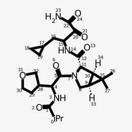 CC(C)C(=O)NC(C(=O)N1C[C@H]2[C@@H]([C@H]1C(=O)NC(CC1CC1)C(=O)C(N)=O)C2(C)C)C1CCOC1